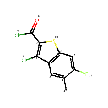 Cc1cc2c(Cl)c(C(=O)Cl)sc2cc1F